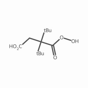 CC(C)(C)C(CC(=O)O)(C(=O)OO)C(C)(C)C